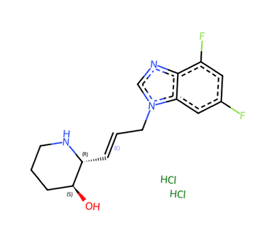 Cl.Cl.O[C@H]1CCCN[C@@H]1/C=C/Cn1cnc2c(F)cc(F)cc21